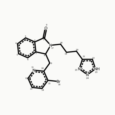 O=C1c2ccccc2C(Cc2ncccc2Br)N1CCCc1c[nH]nn1